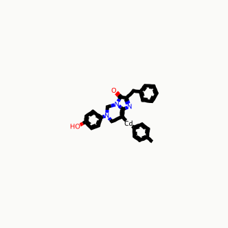 Cc1cc[c]([Cd][C]2=C3N=C(Cc4ccccc4)C(=O)N3CN(c3ccc(O)cc3)C2)cc1